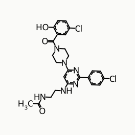 CC(=O)NCCNc1cc(N2CCN(C(=O)c3cc(Cl)ccc3O)CC2)nc(-c2ccc(Cl)cc2)n1